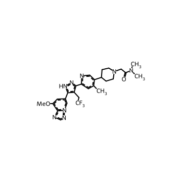 COc1cc(-c2[nH]nc(-c3cc(C)c(C4CCN(CC(=O)N(C)C)CC4)cn3)c2CC(F)(F)F)cn2ncnc12